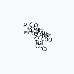 CCn1cc(C)c([O-])c(NC(=O)NC(CC(=O)[O-])c2cccc(-n3cccc(-c4ccccc4)c3=O)c2)c1=O.[Na+].[Na+]